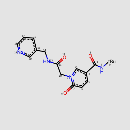 CC(C)(C)NC(=O)c1ccc(=O)n(CC(=O)NCc2cccnc2)c1